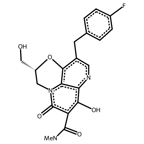 CNC(=O)c1c(O)c2ncc(Cc3ccc(F)cc3)c3c2n(c1=O)C[C@H](CO)O3